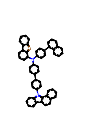 c1ccc2c(-c3ccc(N(c4ccc(-c5ccc(-n6c7ccccc7c7ccc8ccccc8c76)cc5)cc4)c4cccc5c4sc4ccccc45)cc3)cccc2c1